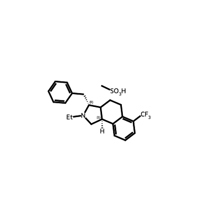 CCN1C[C@@H]2c3cccc(C(F)(F)F)c3CCC2[C@H]1Cc1ccccc1.CS(=O)(=O)O